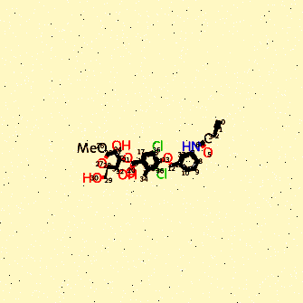 C#CCCC(=O)Nc1cccc(COc2c(Cl)cc(C(=O)O[C@@H]3[C@@H](O)[C@@H](OC)O[C@H](CO)[C@H]3O)c(C)c2Cl)c1